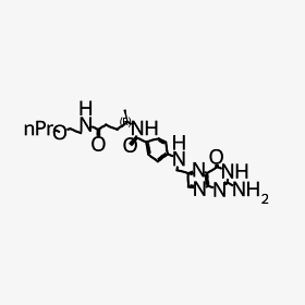 CCCOCCNC(=O)CC[C@@H](C)NC(=O)c1ccc(NCc2cnc3nc(N)[nH]c(=O)c3n2)cc1